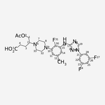 CC(=O)OCC(CCC(=O)O)N1CCN(c2cc(C)cc(Nc3ncn(-c4cc(F)cc(F)c4)n3)c2F)CC1